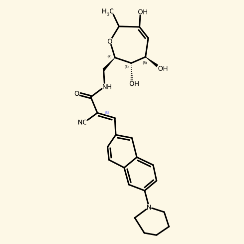 CC1O[C@H](CNC(=O)/C(C#N)=C/c2ccc3cc(N4CCCCC4)ccc3c2)[C@@H](O)[C@H](O)C=C1O